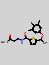 CCCC(Oc1cc(C)c(I)c(C)c1)c1ccc(C(=O)NCCC(=O)OC)s1